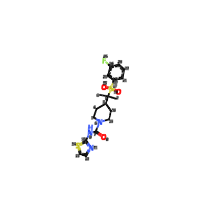 CC(C)(C1CCN(C(=O)Nc2nccs2)CC1)S(=O)(=O)c1cccc(F)c1